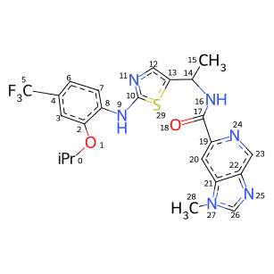 CC(C)Oc1cc(C(F)(F)F)ccc1Nc1ncc(C(C)NC(=O)c2cc3c(cn2)ncn3C)s1